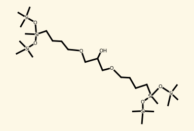 C[Si](C)(C)O[Si](C)(CCCCOCC(O)COCCCC[Si](C)(O[Si](C)(C)C)O[Si](C)(C)C)O[Si](C)(C)C